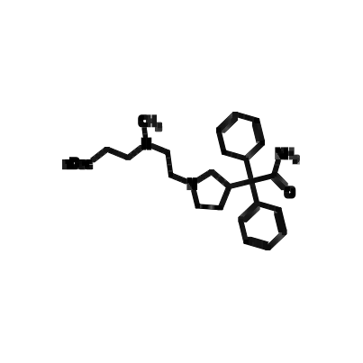 CCCCCCCCCCCCN(C)CCN1CCC(C(C(N)=O)(c2ccccc2)C2C=CC=CC2)C1